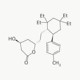 CCC1(CC)C[C@@H](c2ccc(C)cc2)[C@H](CC[C@H]2C[C@H](O)CC(=O)O2)C(CC)(CC)C1